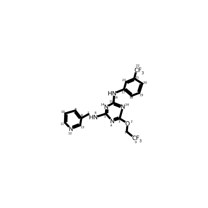 FC(F)(F)COc1nc(NCc2cccnc2)nc(Nc2cccc(C(F)(F)F)c2)n1